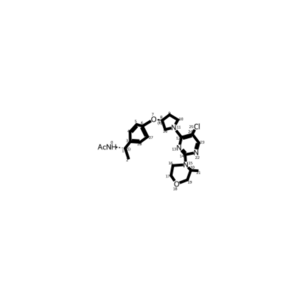 CC(=O)N[C@@H](C)c1ccc(O[C@@H]2CCN(c3nc(N4CCOCC4C)ncc3Cl)C2)cc1